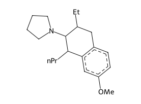 CCCC1c2cc(OC)ccc2CC(CC)C1N1CCCC1